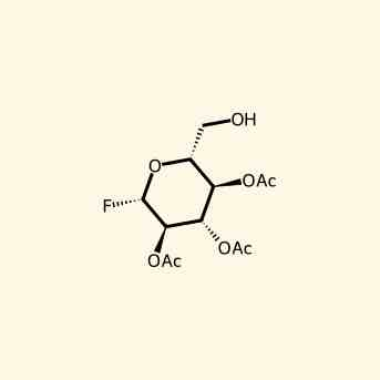 CC(=O)O[C@@H]1[C@@H](OC(C)=O)[C@H](F)O[C@H](CO)[C@H]1OC(C)=O